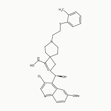 COc1ccc2ncc(Cl)c([C@H](O)CCC3(C(=O)NO)CCN(CCSc4ccccc4C)CC3)c2c1